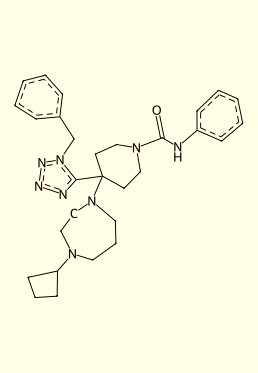 O=C(Nc1ccccc1)N1CCC(c2nnnn2Cc2ccccc2)(N2CCCN(C3CCC3)CC2)CC1